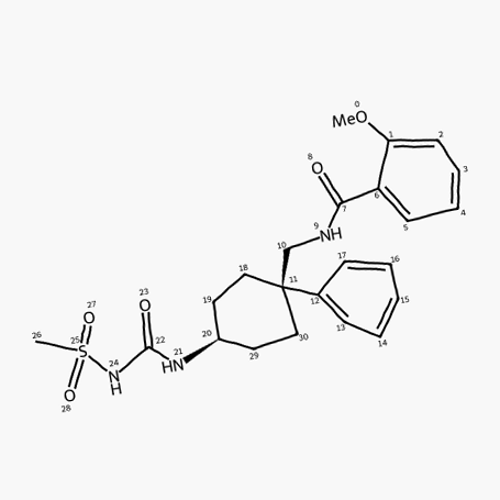 COc1ccccc1C(=O)NC[C@]1(c2ccccc2)CC[C@H](NC(=O)NS(C)(=O)=O)CC1